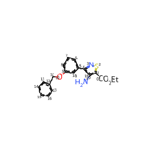 CCOC(=O)c1snc(-c2cccc(OCc3ccccc3)c2)c1N